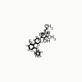 C=CCS(=O)(=O)C(C)[C@H](O)C(=O)N1CC=C(c2c(F)cccc2[CH]n2ccnn2)CC1